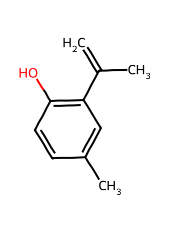 C=C(C)c1cc(C)ccc1O